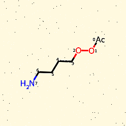 CC(=O)OOCCCCN